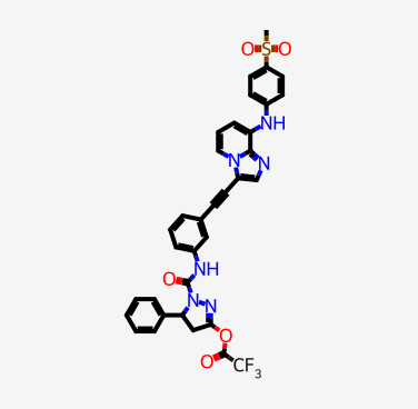 CS(=O)(=O)c1ccc(Nc2cccn3c(C#Cc4cccc(NC(=O)N5N=C(OC(=O)C(F)(F)F)CC5c5ccccc5)c4)cnc23)cc1